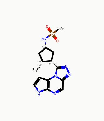 CCCS(=O)(=O)N[C@H]1C[C@@H](C)[C@@H](c2nnc3cnc4[nH]ccc4n23)C1